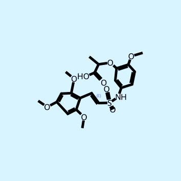 COc1cc(OC)c(/C=C/S(=O)(=O)Nc2ccc(OC)c(OC(C)C(=O)O)c2)c(OC)c1